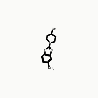 Nc1ccc2oc(N3CCC(O)CC3)nc2c1